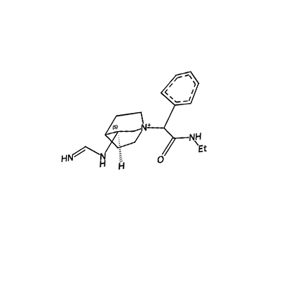 CCNC(=O)C(c1ccccc1)[N+]12CCC(CC1)[C@H](NC=N)C2